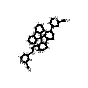 N#Cc1cc(-c2ccc3c(c2)C2(c4ccccc4-c4ccccc42)c2c-3ccc3cc(-c4ccnc(C#N)c4)ccc23)ccn1